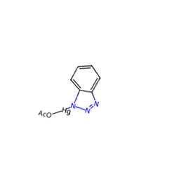 CC(=O)[O][Hg][n]1nnc2ccccc21